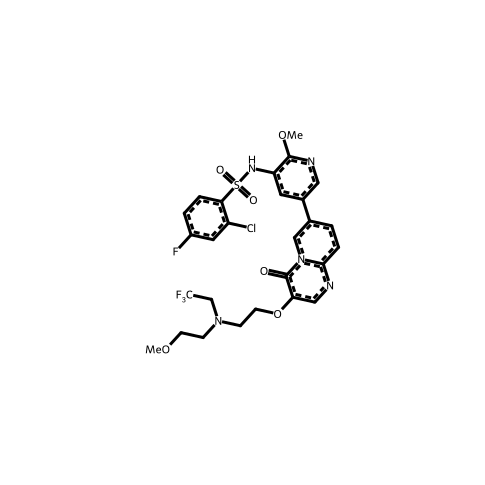 COCCN(CCOc1cnc2ccc(-c3cnc(OC)c(NS(=O)(=O)c4ccc(F)cc4Cl)c3)cn2c1=O)CC(F)(F)F